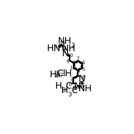 CC1C=C(c2cccc(CC=NNC(=N)N)c2)N=C2N[N+]21C.Cl.I